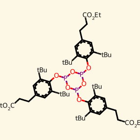 CCOC(=O)CCc1cc(C(C)(C)C)c(OP2OP(Oc3c(C(C)(C)C)cc(CCC(=O)OCC)cc3C(C)(C)C)OP(Oc3c(C(C)(C)C)cc(CCC(=O)OCC)cc3C(C)(C)C)O2)c(C(C)(C)C)c1